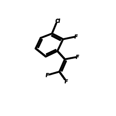 FC(F)=C(F)c1cccc(Cl)c1F